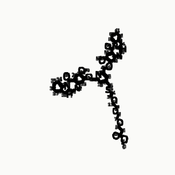 COC(=O)CCOCCOCCOCCSCc1cc(COc2cc3c(cc2OC)C(=O)N2c4ccccc4C[C@H]2C=N3)nc(COc2cc3c(cc2OC)C(=O)N2c4ccccc4C[C@H]2C=N3)c1